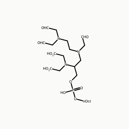 CCCCCCCCOP(=O)(O)OCC(CN(CC=O)CCN(CC=O)CC=O)N(CC(=O)O)CC(=O)O